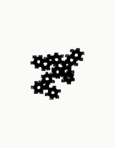 c1ccc(-c2nc(-c3ccc4c5ccccc5n(-c5ccccc5)c4c3)nc(-c3c(-n4c5ccccc5c5cc6ccccc6cc54)ccc4sc5c6ccccc6ccc5c34)n2)cc1